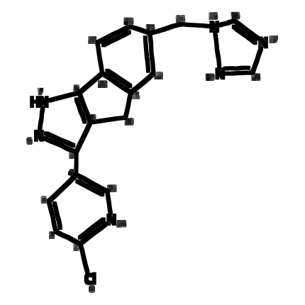 Clc1ccc(-c2n[nH]c3c2Cc2cc(Cn4cncn4)ccc2-3)cn1